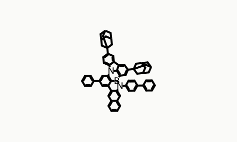 c1ccc(-c2ccc(N3B4c5c(cc(-c6ccccc6)cc5-n5c6ccc(C78CC9CC(CC(C9)C7)C8)cc6c6cc(C78CC9CC(CC(C9)C7)C8)cc4c65)-c4cc5ccccc5cc43)cc2)cc1